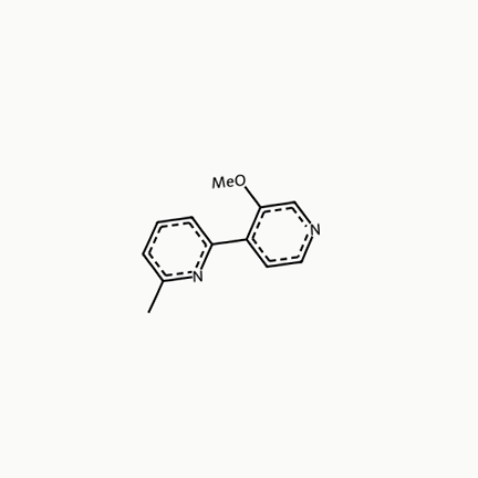 COc1cnccc1-c1cccc(C)n1